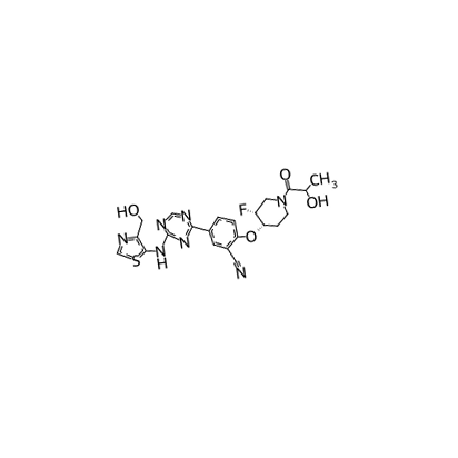 CC(O)C(=O)N1CC[C@H](Oc2ccc(-c3ncnc(Nc4scnc4CO)n3)cc2C#N)[C@H](F)C1